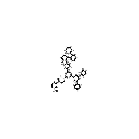 N#Cc1cccc(-c2ccc(-c3nc(-c4cc(-c5ccccc5)cc(-c5ccccc5)c4)nc(-c4ccc5c(c4)oc4cccc(-c6ccccc6-c6ccccc6)c45)n3)cc2)c1